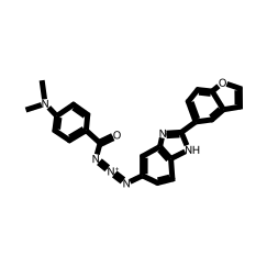 CN(C)c1ccc(C(=O)N=[N+]=Nc2ccc3[nH]c(-c4ccc5occc5c4)nc3c2)cc1